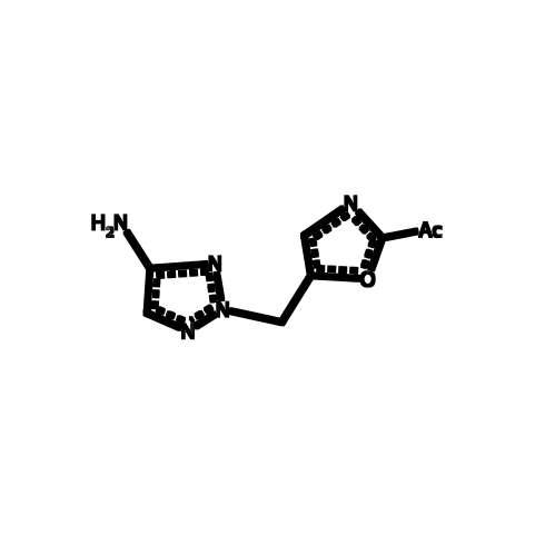 CC(=O)c1ncc(Cn2ncc(N)n2)o1